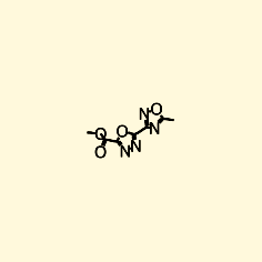 COC(=O)c1nnc(-c2noc(C)n2)o1